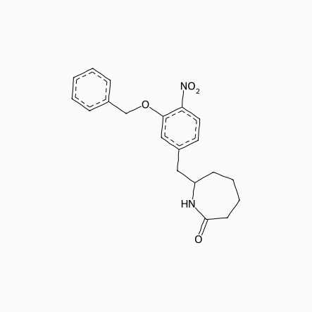 O=C1CCCCC(Cc2ccc([N+](=O)[O-])c(OCc3ccccc3)c2)N1